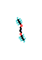 FC(F)(F)C(F)(F)C(F)(F)OC/C=C/COC(F)(F)C(F)(F)C(F)(F)F